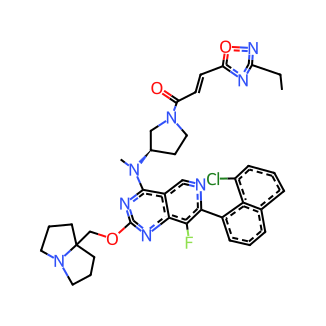 CCc1noc(/C=C/C(=O)N2CC[C@@H](N(C)c3nc(OCC45CCCN4CCC5)nc4c(F)c(-c5cccc6cccc(Cl)c56)ncc34)C2)n1